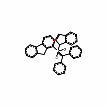 [Cl][Ti]([Cl])(=[C](c1ccccc1)c1ccccc1)([c]1cccc2c1Cc1ccccc1-2)[CH]1C=Cc2ccccc21